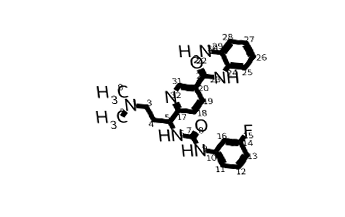 CN(C)CCC(NC(=O)Nc1cccc(F)c1)c1ccc(C(=O)Nc2ccccc2N)cn1